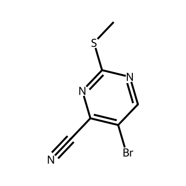 CSc1ncc(Br)c(C#N)n1